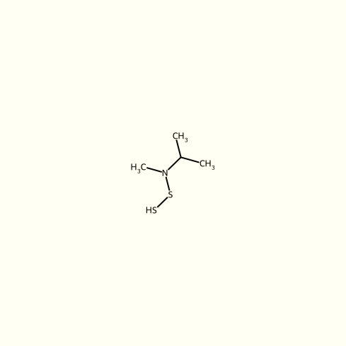 CC(C)N(C)SS